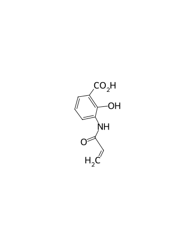 C=CC(=O)Nc1cccc(C(=O)O)c1O